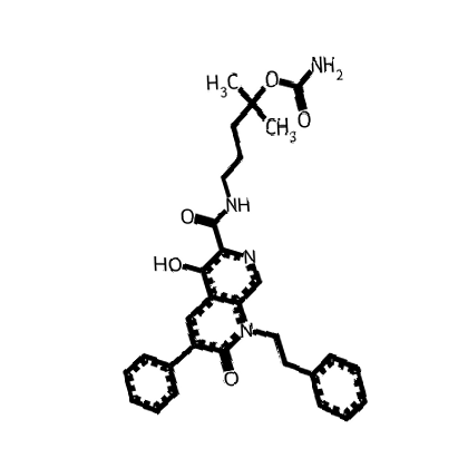 CC(C)(CCCNC(=O)c1ncc2c(cc(-c3ccccc3)c(=O)n2CCc2ccccc2)c1O)OC(N)=O